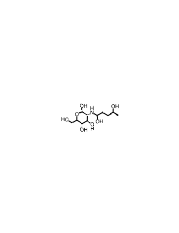 CC(O)CCC(O)N[C@@H]1C(O)[C@H](O)C(CO)O[C@H]1O